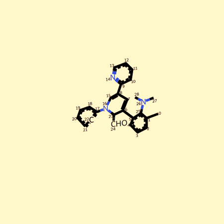 Cc1cccc(C2=CC(c3ccccn3)=CN(c3ccccc3)C2C=O)c1N(C)C